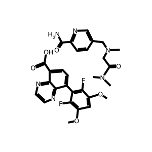 CN(CC(=O)N(C)C)Cc1ccc(C(N)=O)nc1.COc1cc(OC)c(F)c(-c2ccc(C(=O)O)c3nccnc23)c1F